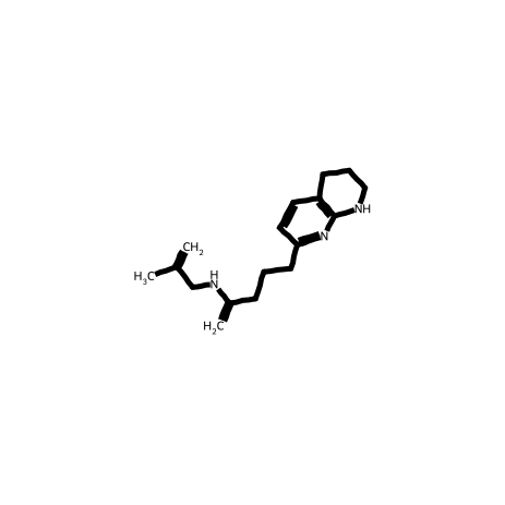 C=C(C)CNC(=C)CCCc1ccc2c(n1)NCCC2